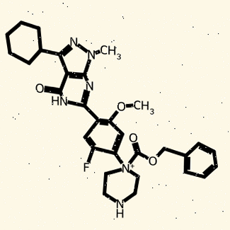 COc1cc([N+]2(C(=O)OCc3ccccc3)CCNCC2)c(F)cc1-c1nc2c(c(C3CCCCC3)nn2C)c(=O)[nH]1